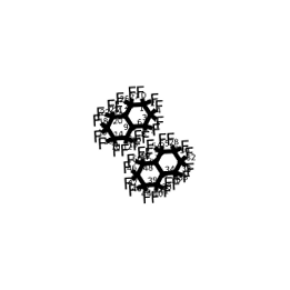 FC1(F)C(F)(F)C(F)(F)C2(F)C(F)(F)C(F)(F)C(F)(F)C(F)(F)C2(F)C1(F)F.FC1(F)C(F)(F)C(F)(F)C2(F)C(F)(F)C(F)(F)C(F)(F)C(F)(F)C2(F)C1(F)F